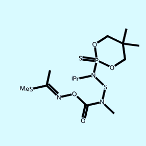 CSC(C)=NOC(=O)N(C)SN(C(C)C)P1(=S)OCC(C)(C)CO1